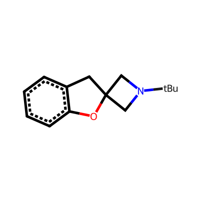 CC(C)(C)N1CC2(Cc3ccccc3O2)C1